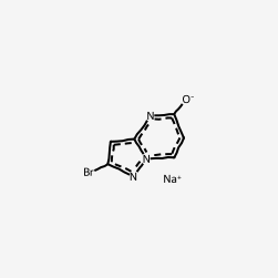 [Na+].[O-]c1ccn2nc(Br)cc2n1